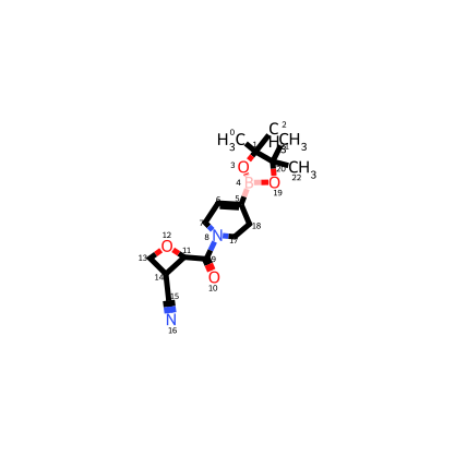 CC1(C)OB(C2=CCN(C(=O)C3OCC3C#N)CC2)OC1(C)C